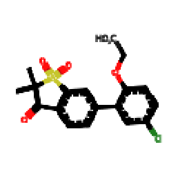 CC1(C)C(=O)c2ccc(-c3cc(Cl)ccc3OCC(=O)O)cc2S1(=O)=O